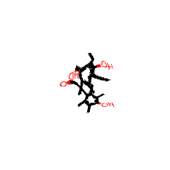 Cc1c(C)c(C(C)(C(=O)O)c2c(C)c(C)c(O)c(C)c2C)c(C)c(C)c1O